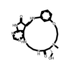 CN1CCCOc2cccc(c2)N/C=C2\C(=O)Nc3ncnc(c32)NCCNC(=O)[C@H]1CO